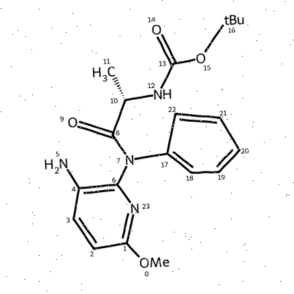 COc1ccc(N)c(N(C(=O)[C@H](C)NC(=O)OC(C)(C)C)c2ccccc2)n1